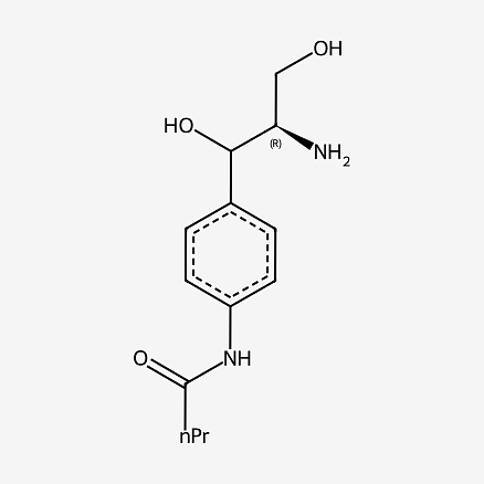 CCCC(=O)Nc1ccc(C(O)[C@H](N)CO)cc1